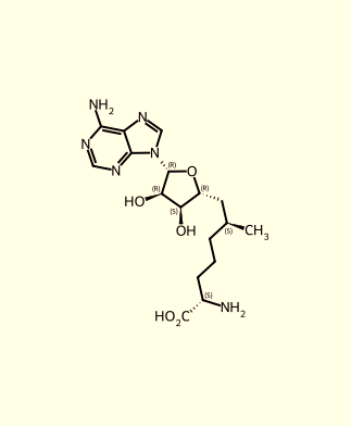 C[C@@H](CCC[C@H](N)C(=O)O)C[C@H]1O[C@@H](n2cnc3c(N)ncnc32)[C@H](O)[C@@H]1O